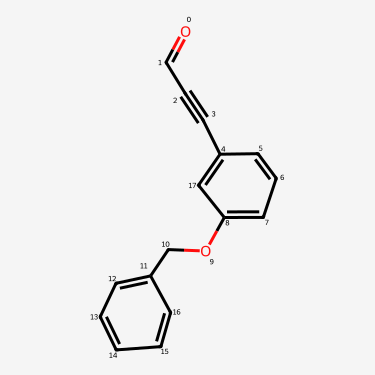 O=CC#Cc1cccc(OCc2ccccc2)c1